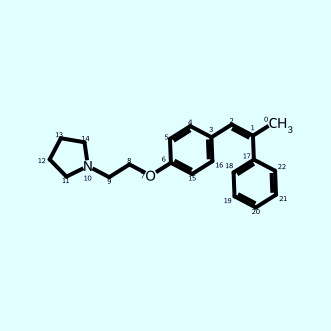 CC(=Cc1ccc(OCCN2CCCC2)cc1)c1ccccc1